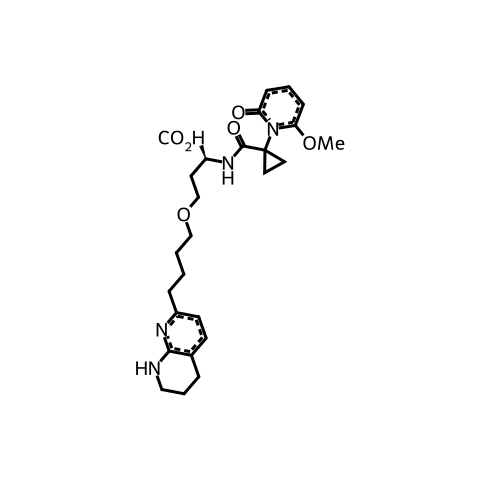 COc1cccc(=O)n1C1(C(=O)N[C@@H](CCOCCCCc2ccc3c(n2)NCCC3)C(=O)O)CC1